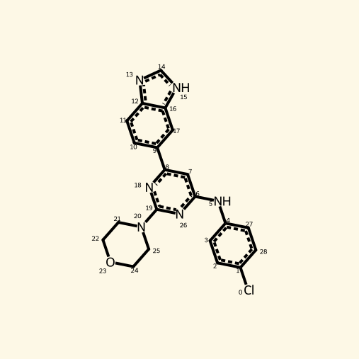 Clc1ccc(Nc2cc(-c3ccc4nc[nH]c4c3)nc(N3CCOCC3)n2)cc1